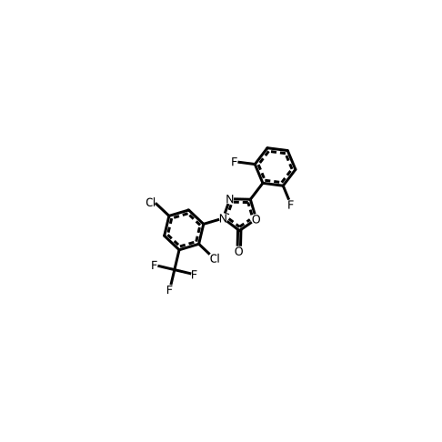 O=c1oc(-c2c(F)cccc2F)nn1-c1cc(Cl)cc(C(F)(F)F)c1Cl